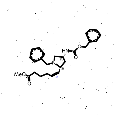 COC(=O)CCC/C=C\[C@@H]1C[C@@H](NC(=O)OCc2ccccc2)CN1Cc1ccccc1